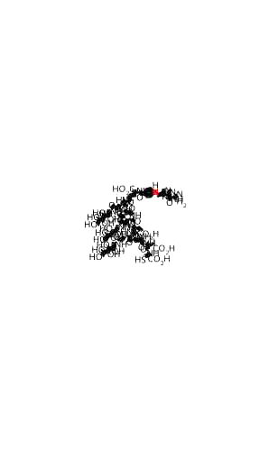 Nc1nc2ncc(CNc3ccc(C(=O)N[C@H](CCC(=O)N[C@@H](CCC(=O)NC[C@H](O)[C@@H](O)[C@H](O)[C@H](O)CO)C(=O)N[C@@H](CCC(=O)O)C(=O)N[C@@H](CCC(=O)NC[C@H](O)[C@@H](O)[C@H](O)[C@H](O)CO)C(=O)N[C@@H](CCC(=O)O)C(=O)N[C@@H](CCC(=O)NC[C@H](O)[C@@H](O)[C@H](O)[C@H](O)CO)C(=O)NC[C@H](N)C(=O)N[C@@H](CC(=O)O)C(=O)N[C@@H](CS)C(=O)O)C(=O)O)cc3)nc2c(=O)[nH]1